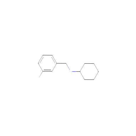 Fc1cccc(CNC2CCCCC2)c1